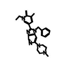 C=C1C(C)=CC(c2nc3cnc(N4CCN(C)CC4)cc3n2Cc2ccccc2)=CN1CC